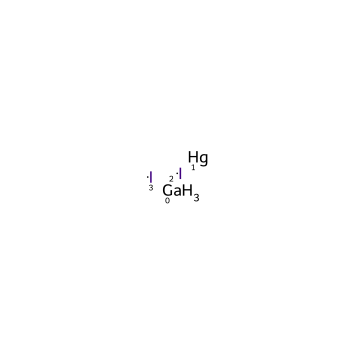 [GaH3].[Hg].[I].[I]